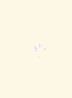 CSCCCn1nc(-c2cccc(C(F)(F)F)c2F)c(=O)c2ccccc21